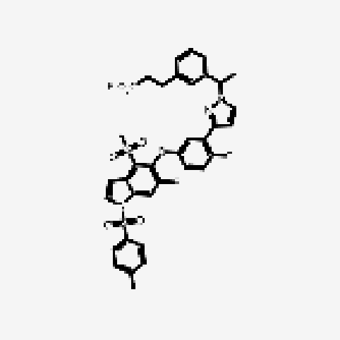 CCOC(=O)CCc1cccc(C(C)n2ccc(-c3cc(Oc4c(F)cc5c(ccn5S(=O)(=O)c5ccc(C)cc5)c4S(C)(=O)=O)ccc3F)n2)c1